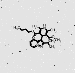 CCCCOC(=O)C1=C(C)NC(C)=C(C(=O)OC)C1c1c(C(C)C)nn2ccccc12